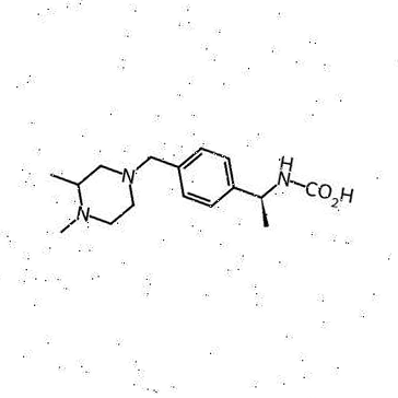 CC1CN(Cc2ccc([C@H](C)NC(=O)O)cc2)CCN1C